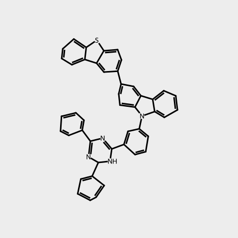 c1ccc(C2=NC(c3ccccc3)NC(c3cccc(-n4c5ccccc5c5cc(-c6ccc7sc8ccccc8c7c6)ccc54)c3)=N2)cc1